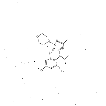 COc1cc(Br)c(N(c2nc(C)nc(N3CCOCC3)n2)C(C)C)c(OC)c1